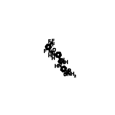 NS(=O)(=O)c1ccc(Nc2cc(-c3cccc(NC(=O)Nc4cc(C(F)(F)F)ccc4F)c3)n[nH]2)cc1